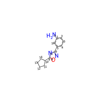 Nc1cccc(-c2noc(C3CCCC3)n2)c1